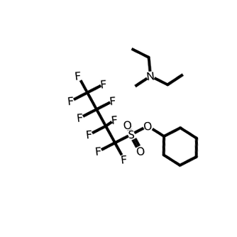 CCN(C)CC.O=S(=O)(OC1CCCCC1)C(F)(F)C(F)(F)C(F)(F)C(F)(F)F